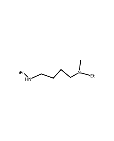 CCN(C)CCCCNC(C)C